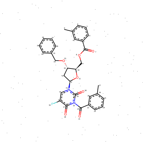 Cc1cccc(C(=O)OC[C@H]2O[C@@H](n3cc(F)c(=O)n(C(=O)c4cccc(C)c4)c3=O)C[C@@H]2OCc2ccccc2)c1